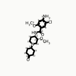 COc1cc(N)c(Cl)cc1C(=O)N[C@H]1CCN(C2CCC(=O)CC2)C[C@H]1OC